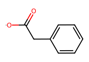 [O]C(=O)Cc1ccccc1